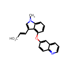 Cn1cc(C=CC(=O)O)c2c(Oc3ccc4ncccc4c3)cccc21